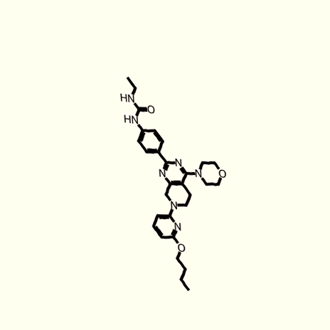 CCCCOc1cccc(N2CCc3c(nc(-c4ccc(NC(=O)NCC)cc4)nc3N3CCOCC3)C2)n1